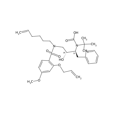 C=CCCCCN(C[C@@H](O)[C@H](Cc1ccccc1)N(C(=O)O)C(C)(C)C)S(=O)(=O)c1ccc(OC)cc1OCC=C